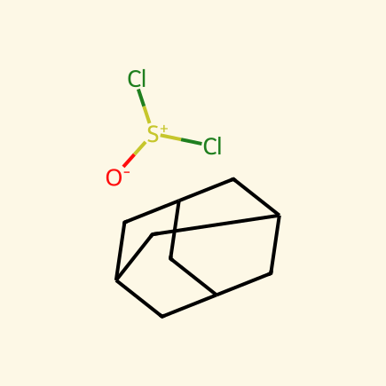 C1C2CC3CC1CC(C2)C3.[O-][S+](Cl)Cl